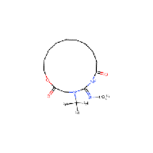 [2H]C([2H])([2H])N1CC(=O)OCCCCCCCCCC(=O)N/C1=N\C(=O)O